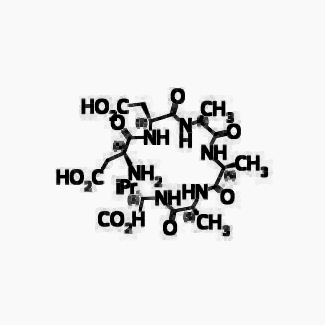 CC(C)[C@H](NC(=O)[C@H](C)NC(=O)[C@H](C)NC(=O)[C@H](C)NC(=O)[C@H](CC(=O)O)NC(=O)[C@@H](N)CC(=O)O)C(=O)O